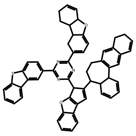 C1=CC2c3cc4c(cc3CCC(C3=Cc5c(oc6ccccc56)C3c3nc(C5=CC=C6OC7C=CCCC7C6C5)nc(-c5ccc6sc7ccccc7c6c5)n3)C2C=C1)CCC=C4